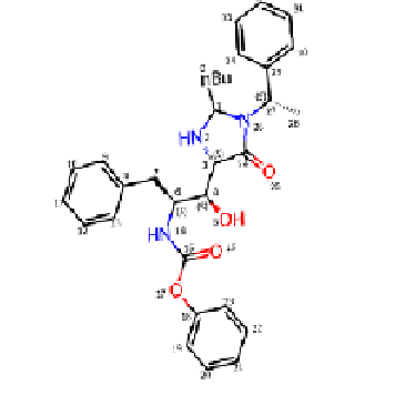 CCCCC1N[C@@H]([C@@H](O)[C@H](Cc2ccccc2)NC(=O)Oc2ccccc2)C(=O)N1[C@@H](C)c1ccccc1